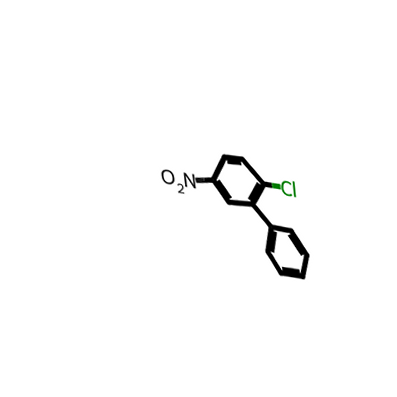 O=[N+]([O-])c1ccc(Cl)c(-c2ccccc2)c1